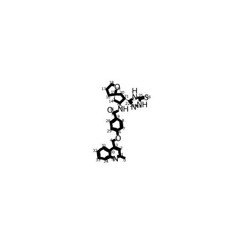 Cc1cc(COc2ccc(C(=O)N[C@@H]3C[C@@]4(CCCO4)C[C@@H]3c3n[nH]c(=S)[nH]3)cc2)c2ccccc2n1